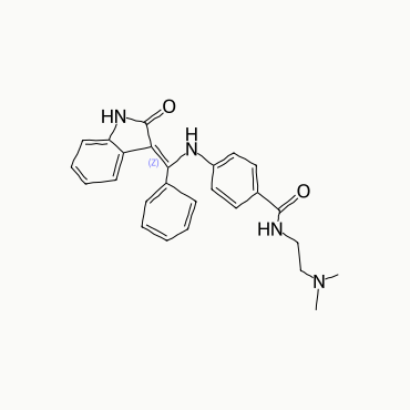 CN(C)CCNC(=O)c1ccc(N/C(=C2\C(=O)Nc3ccccc32)c2ccccc2)cc1